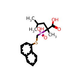 CC(C)CC(C)(C(=O)O)P(=O)(O)CSc1cccc2ccccc12